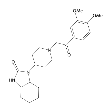 COc1ccc(C(=O)CN2CCC(N3C(=O)NC4CCCCC43)CC2)cc1OC